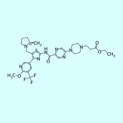 CCOC(=O)CCN1CCN(c2cnc(C(=O)Nc3nc(-c4cnc(OC)c(C(F)(F)F)c4)c(CN4CCC[C@H]4C)s3)cn2)CC1